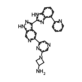 NC1CN(c2cncc(-c3cc4c(-c5nc6c(-c7ccccn7)cccc6[nH]5)n[nH]c4cn3)n2)C1